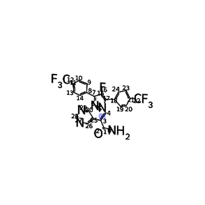 NC(=O)/C(=C/n1nc(-c2ccc(C(F)(F)F)cc2)c(F)c1-c1ccc(C(F)(F)F)cc1)c1cncnc1